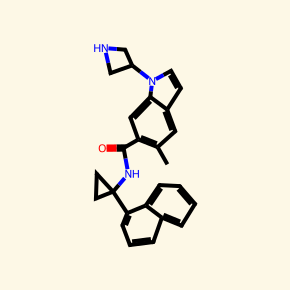 Cc1cc2ccn(C3CNC3)c2cc1C(=O)NC1(c2cccc3ccccc23)CC1